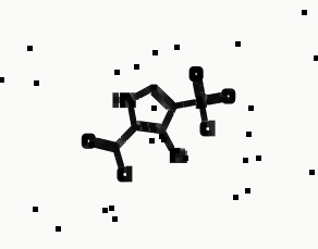 CCc1c(S(=O)(=O)Cl)c[nH]c1C(=O)Cl